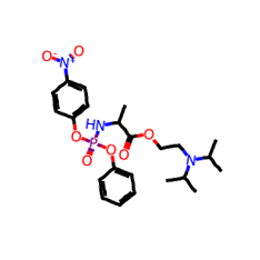 CC(NP(=O)(Oc1ccccc1)Oc1ccc([N+](=O)[O-])cc1)C(=O)OCCN(C(C)C)C(C)C